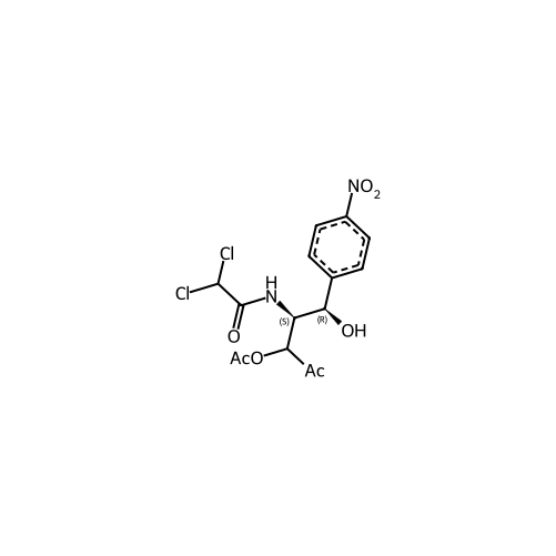 CC(=O)OC(C(C)=O)[C@@H](NC(=O)C(Cl)Cl)[C@H](O)c1ccc([N+](=O)[O-])cc1